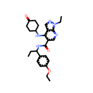 CCOc1ccc(C(CC)NC(=O)c2cnc3c(cnn3CC)c2NC2CCC(=O)CC2)cc1